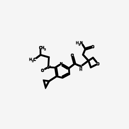 CC(C)C[S+]([O-])c1nc(C(=O)NC2(CC(N)=O)COC2)ccc1C1CC1